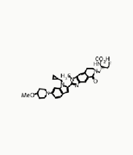 COC1CCN(c2ccc3cc(-c4nc5cc6c(cc5n4C)CCN(C[C@@H](CF)NC(=O)O)C6=O)n(CC4CC4)c3c2)CC1